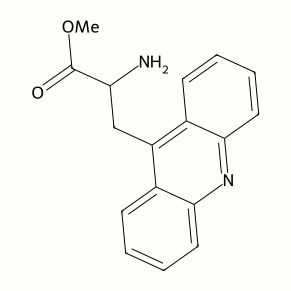 COC(=O)C(N)Cc1c2ccccc2nc2ccccc12